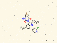 O=C(O)c1c(-n2c(=O)[nH]c3cscc3c2=O)c2cc(C(F)(F)F)ccc2n1Cc1cccnc1Cl